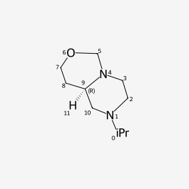 CC(C)N1CCN2COCC[C@@H]2C1